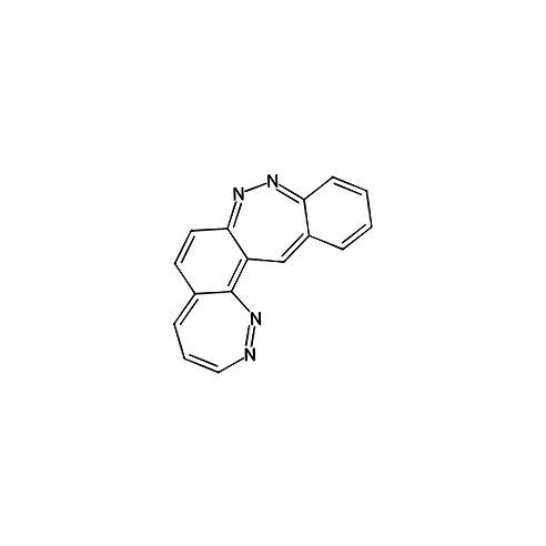 C1=CN=Nc2c3c(ccc2=C1)=NN=c1ccccc1=C3